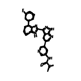 CN(C)C(=O)Nc1cncc(-c2cnc3[nH]nc(-c4nc5c(-c6cccc(F)c6)cccc5[nH]4)c3c2)c1